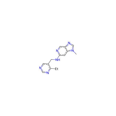 CCc1ncncc1CNc1cc2c(cn1)ncn2C